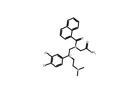 CN(C)CC[C@H](CN(CC(N)=O)C(=O)c1cccc2ccccc12)c1ccc(Cl)c(Cl)c1